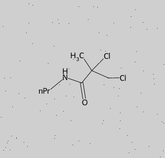 CCCNC(=O)C(C)(Cl)CCl